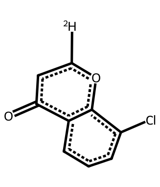 [2H]c1cc(=O)c2cccc(Cl)c2o1